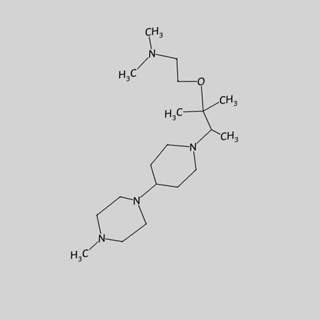 CC(N1CCC(N2CCN(C)CC2)CC1)C(C)(C)OCCN(C)C